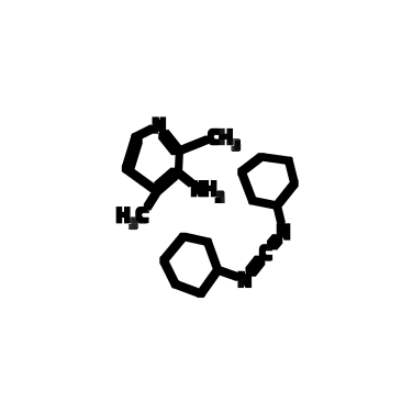 C(=NC1CCCCC1)=NC1CCCCC1.Cc1ccnc(C)c1N